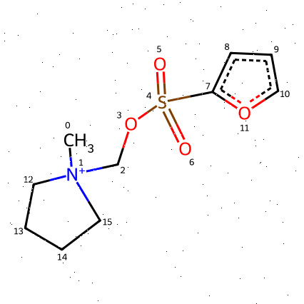 C[N+]1(COS(=O)(=O)c2ccco2)CCCC1